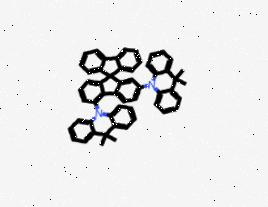 CC1(C)c2ccccc2N(c2ccc3c(c2)C2(c4ccccc4-c4ccccc42)c2cccc(N4c5ccccc5C(C)(C)c5ccccc54)c2-3)c2ccccc21